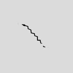 CCC#CCCCCCCCCCCSCC(=O)O